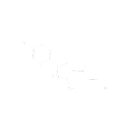 CCOC(=O)c1cc(-c2ccc(Br)cc2)[nH]c1N